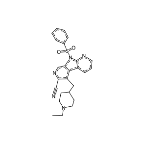 CCN1CCC(Cc2c(C#N)ncc3c2c2cccnc2n3S(=O)(=O)c2ccccc2)CC1